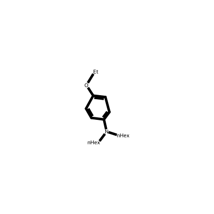 CCCCCCN(CCCCCC)c1ccc(OCC)cc1